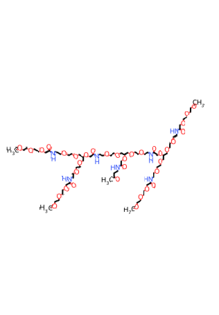 COCCOCCOCC(=O)NCCOCCOCC(COCCOCCNC(=O)COCCOCCOC)OCC(=O)NCCOCCOCC(COCCOCCNC(=O)COC(COCCOCCNC(=O)COCCOCCOC)COCCOCCNC(=O)COCCOCCOC)OCC(=O)NCCC(C)=O